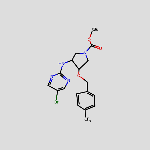 CC(C)(C)OC(=O)N1CC(Nc2ncc(Br)cn2)C(OCc2ccc(C(F)(F)F)cc2)C1